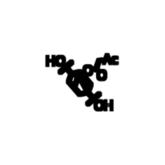 CC(=O)CC(=O)OC12CC3CC(C(C)(C)O)(C1)CC(C(C)(C)O)(C3)C2